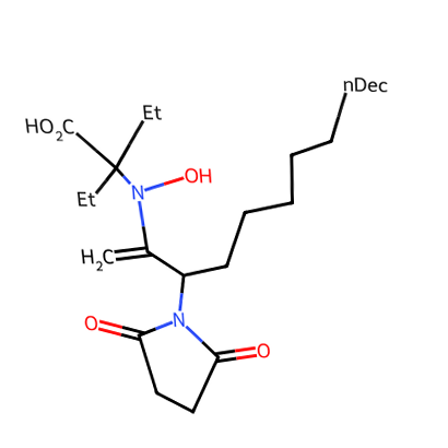 C=C(C(CCCCCCCCCCCCCCC)N1C(=O)CCC1=O)N(O)C(CC)(CC)C(=O)O